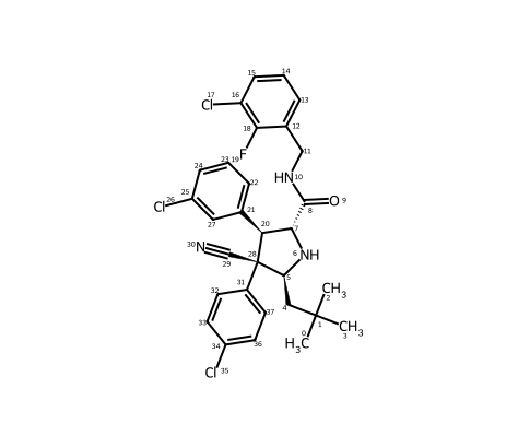 CC(C)(C)C[C@@H]1N[C@@H](C(=O)NCc2cccc(Cl)c2F)[C@H](c2cccc(Cl)c2)[C@@]1(C#N)c1ccc(Cl)cc1